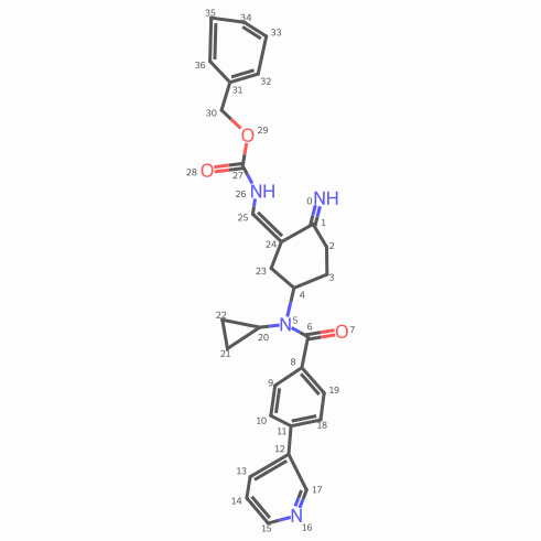 N=C1CCC(N(C(=O)c2ccc(-c3cccnc3)cc2)C2CC2)C/C1=C/NC(=O)OCc1ccccc1